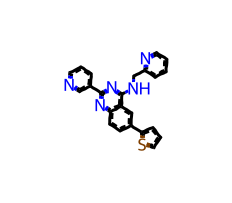 c1ccc(CNc2nc(-c3cccnc3)nc3ccc(-c4cccs4)cc23)nc1